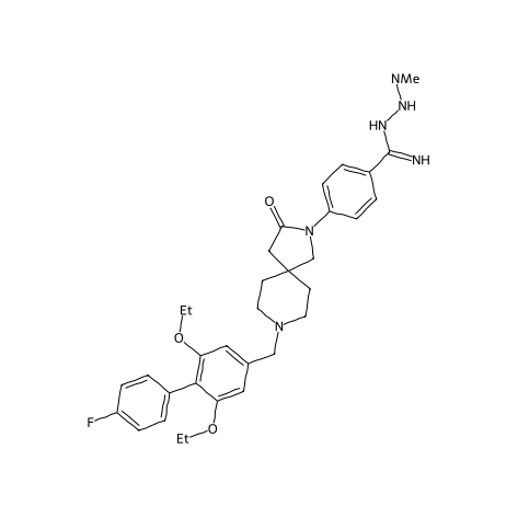 CCOc1cc(CN2CCC3(CC2)CC(=O)N(c2ccc(C(=N)NNNC)cc2)C3)cc(OCC)c1-c1ccc(F)cc1